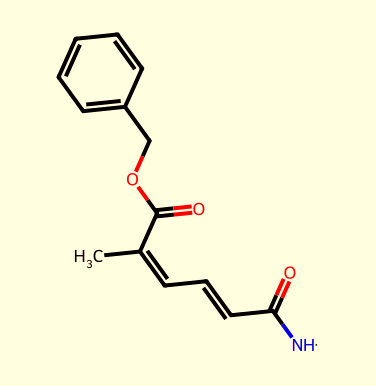 C/C(=C/C=C/C([NH])=O)C(=O)OCc1ccccc1